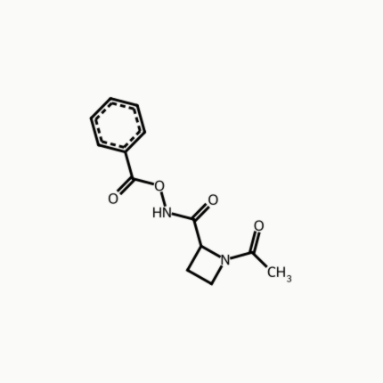 CC(=O)N1CCC1C(=O)NOC(=O)c1ccccc1